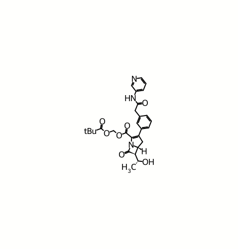 C[C@@H](O)[C@H]1C(=O)N2C(C(=O)OCOC(=O)C(C)(C)C)=C(c3cccc(CC(=O)Nc4cccnc4)c3)C[C@H]12